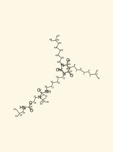 CC(C)CCCCCCn1c(=O)n(CCCCCCNC(=O)N(CCOC(=O)NCC(C)C)C(C)(C)C)c(=O)n(CCCCCCC(C)C)c1=O